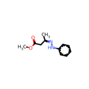 COC(=O)C/C(C)=N\Nc1ccccc1